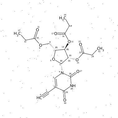 C#Cc1cn([C@@H]2O[C@H](COC(=O)CC)[C@@H](OC(=O)CC)[C@@H]2OC(=O)CC)c(=O)[nH]c1=O